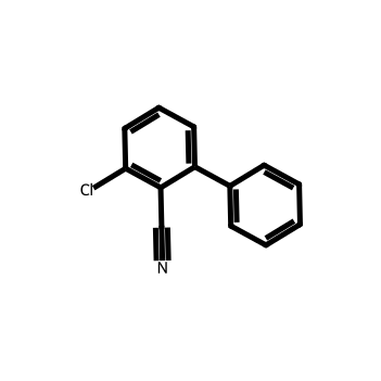 N#Cc1c(Cl)cccc1-c1ccccc1